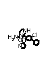 NC(=O)N1CCNCC1(COc1cccnc1)c1ccc(-c2ccccc2)c(Cl)c1